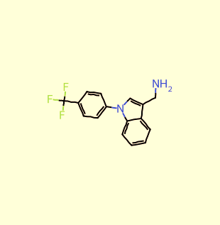 NCc1cn(-c2ccc(C(F)(F)F)cc2)c2ccccc12